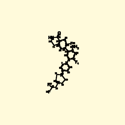 Nc1nc(F)c(-c2ccc(N3CCN(CC(F)F)CC3)cc2)cc1-c1cc2c(cc1F)C(=O)NCC2